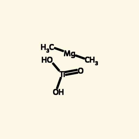 [CH3][Mg][CH3].[O]=[Ti]([OH])[OH]